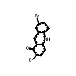 O=c1c(Br)ccc2[nH]c3ccc(Br)cc3cc1-2